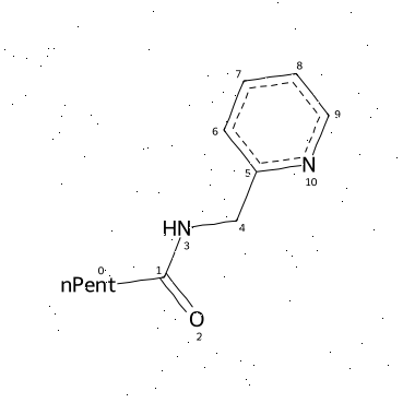 CCCCCC(=O)NCc1ccccn1